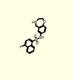 O=S(=O)(Nc1ccc2c(c1)CNCCO2)c1ccc(F)c2ccccc12